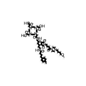 COCCCCN1CCN(C(=O)CCCN2C(=O)CC(SC(CCCCNC(=O)CCCc3ccc(I)cc3)CNC(=O)CN3CCN(CC(=O)O)CCN(CC(=O)O)CCN(CC(=O)O)CC3)C2=O)CC1